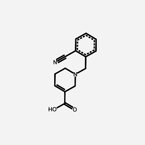 N#Cc1ccccc1CN1CCC=C(C(=O)O)C1